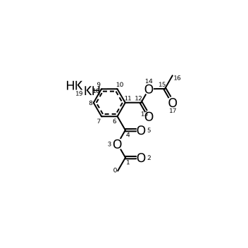 CC(=O)OC(=O)c1ccccc1C(=O)OC(C)=O.[KH].[KH]